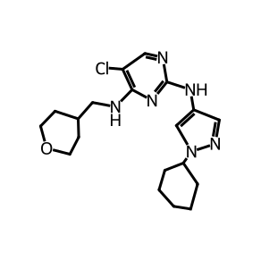 Clc1cnc(Nc2cnn(C3CCCCC3)c2)nc1NCC1CCOCC1